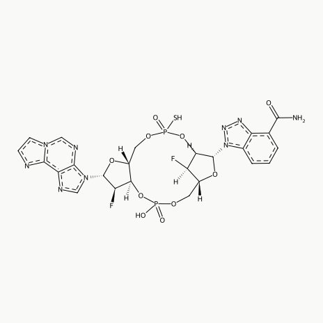 NC(=O)c1cccc2c1nnn2[C@@H]1O[C@@H]2COP(=O)(O)O[C@H]3[C@@H](F)[C@H](n4cnc5c4ncn4ccnc54)O[C@@H]3COP(=O)(S)O[C@@H]1[C@@H]2F